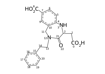 O=C(O)CC1Nc2ccc(C(=O)O)cc2CN(CCc2ccccc2)C1=O